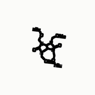 CCCCOCN1C(=O)N(COC)C2C1N(COC)C(=O)N2COCCCC